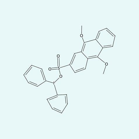 COc1c2ccccc2c(OC)c2cc(S(=O)(=O)OI(c3ccccc3)c3ccccc3)ccc12